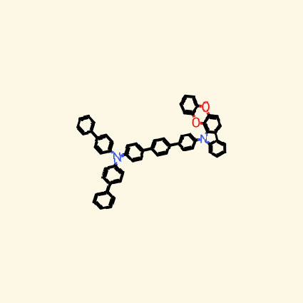 c1ccc(-c2ccc(N(c3ccc(-c4ccccc4)cc3)c3ccc(-c4ccc(-c5ccc(-n6c7ccccc7c7ccc8c(c76)Oc6ccccc6O8)cc5)cc4)cc3)cc2)cc1